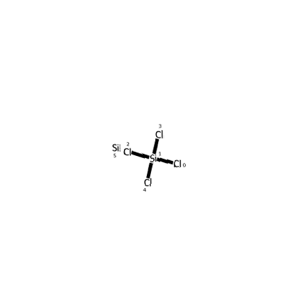 Cl[Si](Cl)(Cl)Cl.[Si]